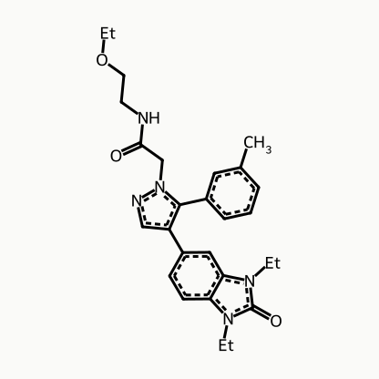 CCOCCNC(=O)Cn1ncc(-c2ccc3c(c2)n(CC)c(=O)n3CC)c1-c1cccc(C)c1